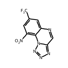 O=[N+]([O-])c1cc(C(F)(F)F)cc2ncc3nnnn3c12